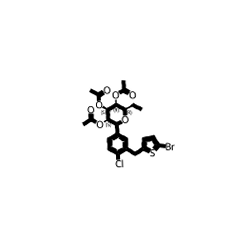 CC[C@H]1OC(c2ccc(Cl)c(Cc3ccc(Br)s3)c2)[C@H](OC(C)=O)[C@@H](OC(C)=O)[C@@H]1OC(C)=O